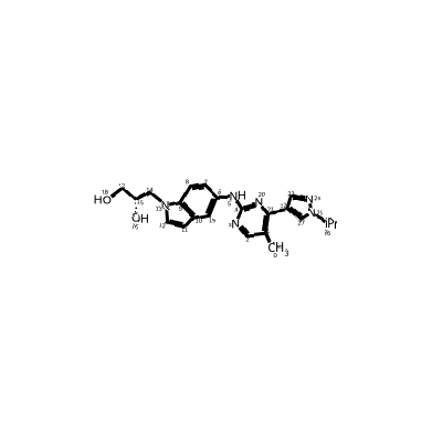 Cc1cnc(Nc2ccc3c(ccn3C[C@H](O)CO)c2)nc1-c1cnn(C(C)C)c1